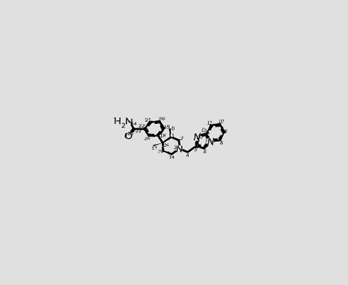 C[C@H]1CN(Cc2cn3ccccc3n2)CC[C@]1(C)c1cccc(C(N)=O)c1